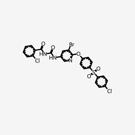 O=C(NC(=O)c1ccccc1Cl)Nc1cnc(Oc2ccc(S(=O)(=O)c3ccc(Cl)cc3)cc2)c(Br)c1